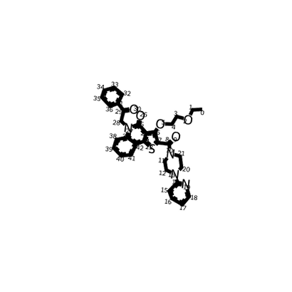 CCOCCOc1c(C(=O)N2CCN(c3ccccn3)CC2)sc2c1c(=O)n(CC(=O)c1ccccc1)c1ccccc21